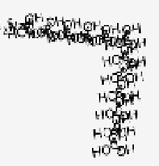 OB(O)O.OB(O)O.OB(O)O.OB(O)O.OB(O)O.OB(O)O.OB(O)O.OB(O)O.OB(O)O.OB(O)O.OB(O)O.OB(O)O.S.[NaH]